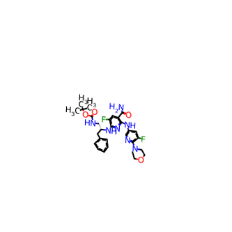 CC(C)(C)OC(=O)NC[C@@H](Cc1ccccc1)Nc1nc(Nc2cnc(N3CCOCC3)c(F)c2)c(C(N)=O)cc1F